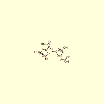 O=C(O)CN(CCCCC(C(=O)O)N(CC(=O)O)CC(=O)O)CC(=O)O